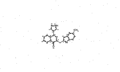 Cc1ccc2nc(Cn3cc(-c4cn[nH]c4)c4ccncc4c3=O)cn2c1